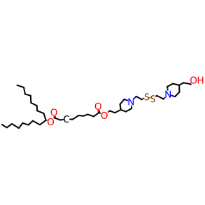 CCCCCCCCC(CCCCCCCC)OC(=O)CCCCCCCC(=O)OCCC1CCN(CCSSCCN2CCC(CCO)CC2)CC1